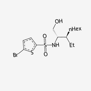 CCCCCC[C@@H](CC)[C@@H](CO)NS(=O)(=O)c1ccc(Br)s1